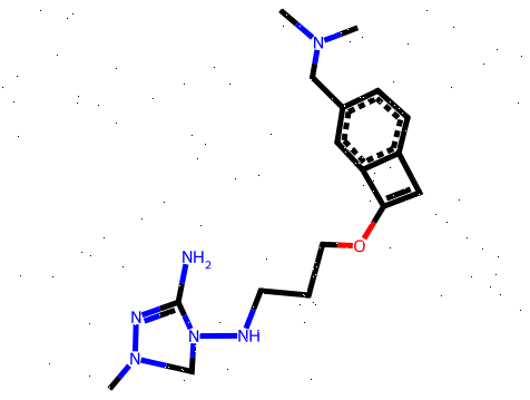 CN(C)Cc1ccc2c(c1)C(OCCCNN1CN(C)N=C1N)=C2